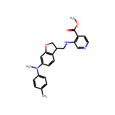 COC(=O)c1ccncc1NCC1COc2cc(N(C)c3ccc(C)cc3)ccc21